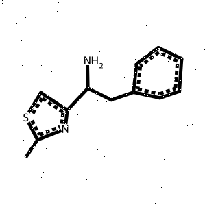 Cc1nc(C(N)Cc2ccccc2)cs1